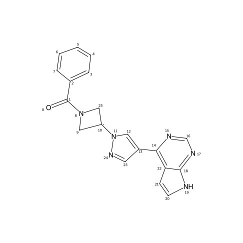 O=C(c1ccccc1)N1C[C](n2cc(-c3ncnc4[nH]ccc34)cn2)C1